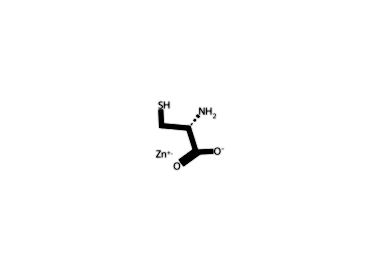 N[C@@H](CS)C(=O)[O-].[Zn+]